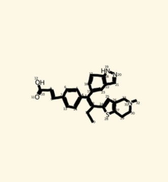 CCC(=C(c1ccc(C=CC(=O)O)cc1)c1ccc2[nH]ncc2c1)c1cc2c(s1)CCN(C)C2